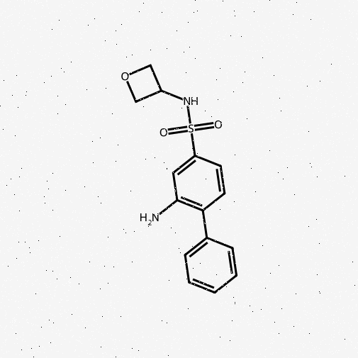 Nc1cc(S(=O)(=O)NC2COC2)ccc1-c1ccccc1